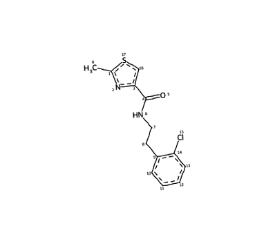 Cc1nc(C(=O)NCCc2ccccc2Cl)cs1